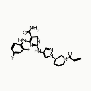 C=CC(=O)N1CCC[C@@H](n2cc(Nc3ncc(C(N)=O)c(Nc4ccc(F)cc4F)n3)cn2)C1